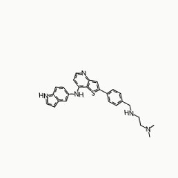 CN(C)CCNCc1ccc(-c2cc3nccc(Nc4ccc5[nH]ccc5c4)c3s2)cc1